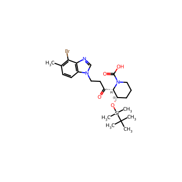 Cc1ccc2c(ncn2CCC(=O)[C@H]2[C@@H](O[Si](C)(C)C(C)(C)C)CCCN2C(=O)O)c1Br